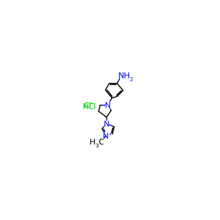 C[n+]1ccn(C2CCN(c3ccc(N)cc3)C2)c1.Cl.[Cl-]